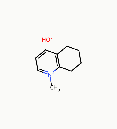 C[n+]1cccc2c1CCCC2.[OH-]